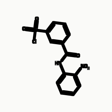 O=C(Nc1ccccc1[N+](=O)[O-])c1cccc(S(=O)(=O)Cl)c1